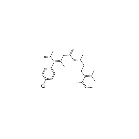 C=C(/C=C(\C)CCC(=C(C)C)/C(C)=C\C)C/C(C)=C(\C(=C)C)c1ccc(Cl)cc1